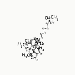 CC(=O)NCCCCCCNC(=O)Oc1cccc2c1C1(CC(C)(C)c3cccc(C)c31)CC2(C)C